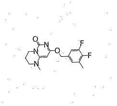 Cc1cc(COc2cc3n(c(=O)n2)CCCN3C)cc(F)c1F